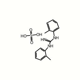 Cc1ccccc1NC(=N)Nc1ccccc1C.O=S(=O)(O)O